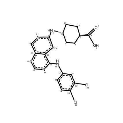 O=C(O)[C@H]1CC[C@H](Nc2ncc3ncnc(Nc4ccc(Cl)c(Cl)c4)c3n2)CC1